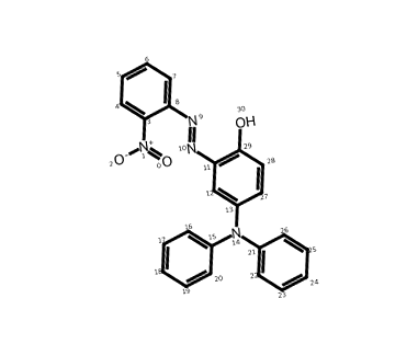 O=[N+]([O-])c1ccccc1N=Nc1cc(N(c2ccccc2)c2ccccc2)ccc1O